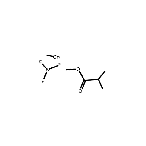 CO.COC(=O)C(C)C.FB(F)F